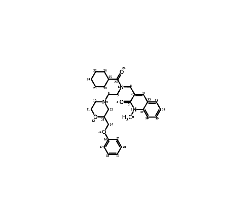 Cn1c(=O)c(CN(CCN2CCOC(COc3ccccc3)C2)C(=O)C2CCCCC2)cc2ccccc21